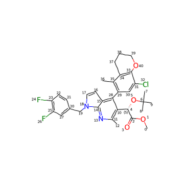 COC(=O)[C@@H](OC(C)(C)C)c1c(C)nc2c(ccn2Cc2ccc(F)c(F)c2)c1-c1cc(Cl)c2c(c1C)CCCO2